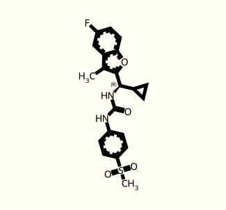 Cc1c([C@H](NC(=O)Nc2ccc(S(C)(=O)=O)cc2)C2CC2)oc2ccc(F)cc12